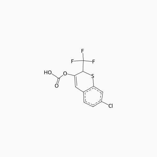 O=C(O)OC1=Cc2ccc(Cl)cc2SC1C(F)(F)F